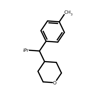 Cc1ccc(C(C(C)C)C2CCOCC2)cc1